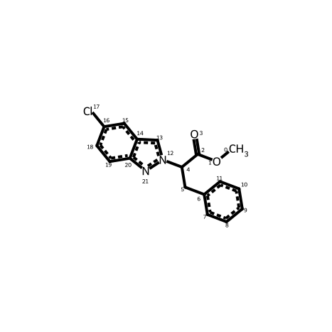 COC(=O)C(Cc1ccccc1)n1cc2cc(Cl)ccc2n1